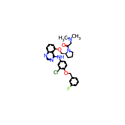 CN(C)CC(=O)N1CCC[C@H]1COc1cccc2ncnc(Nc3ccc(OCc4cccc(F)c4)c(Cl)c3)c12